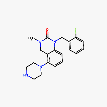 CN1Cc2c(N3CCNCC3)cccc2N(Cc2ccccc2F)C1=O